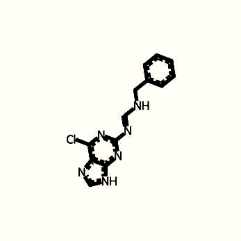 Clc1nc(/N=C/NCc2ccccc2)nc2[nH]cnc12